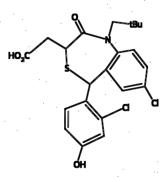 CC(C)(C)CN1C(=O)C(CC(=O)O)SC(c2ccc(O)cc2Cl)c2cc(Cl)ccc21